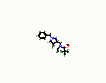 CCN(CC1CN(Cc2ccccc2)CC1F)C(=O)C(F)(F)F